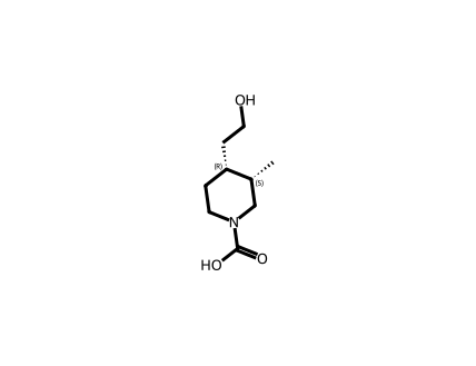 C[C@@H]1CN(C(=O)O)CC[C@@H]1CCO